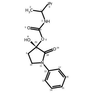 CC(C)C(C)NC(=O)O[C@@]1(O)CCN(c2ccccc2)C1=O